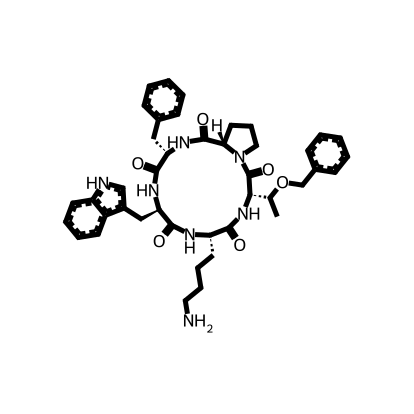 CC(OCc1ccccc1)[C@@H]1NC(=O)[C@H](CCCCN)NC(=O)[C@@H](Cc2c[nH]c3ccccc23)NC(=O)[C@H](Cc2ccccc2)NC(=O)[C@@H]2CCCN2C1=O